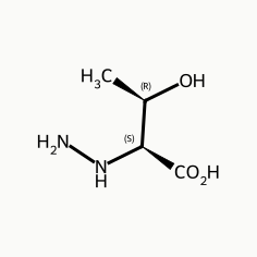 C[C@@H](O)[C@H](NN)C(=O)O